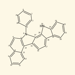 c1ccc(-n2c3ccc4ccccc4c3c3ccc4c5ccccc5[nH]c4c32)cc1